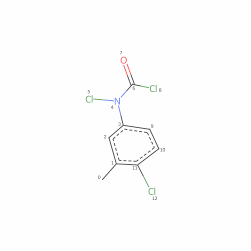 Cc1cc(N(Cl)C(=O)Cl)ccc1Cl